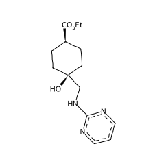 CCOC(=O)[C@H]1CC[C@](O)(CNc2ncccn2)CC1